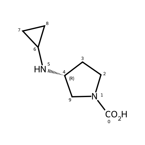 O=C(O)N1CC[C@@H](NC2CC2)C1